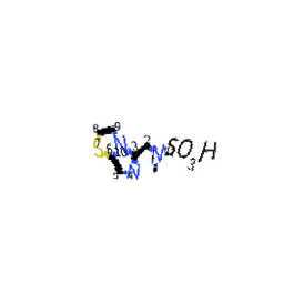 CN(Cc1ncc2sccn12)S(=O)(=O)O